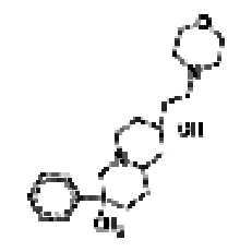 CC1(c2ccccc2)CCC2CC(O)(CCN3CCOCC3)CCN2C1